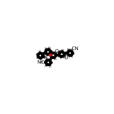 N#Cc1ccc2oc3cc4c(cc3c2c1)oc1ccc(-c2cccc(C#N)c2-n2c3ccccc3c3ccccc32)cc14